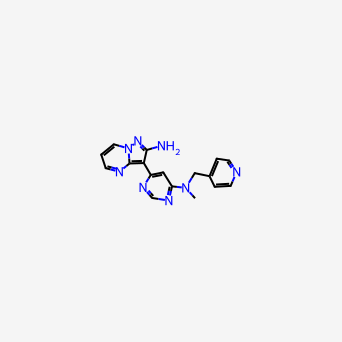 CN(Cc1ccncc1)c1cc(-c2c(N)nn3cccnc23)ncn1